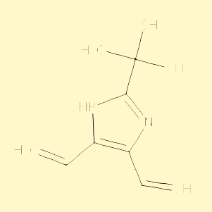 C=CC1=C(C=C)N=C(C(C)(C)S)B1